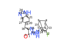 O=C1NC(NC23CC4CC(CC(F)(C4)C2)C3)=N/C1=C\c1ccc2[nH]cnc2c1